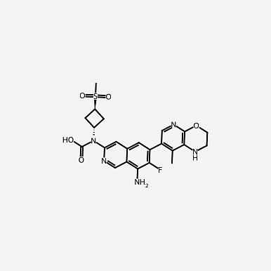 Cc1c(-c2cc3cc(N(C(=O)O)[C@H]4C[C@H](S(C)(=O)=O)C4)ncc3c(N)c2F)cnc2c1NCCO2